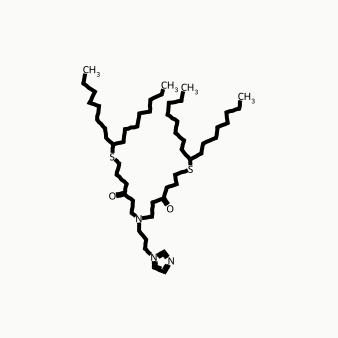 CCCCCCCCC(CCCCCCCC)SCCCC(=O)CCN(CCCn1ccnc1)CCC(=O)CCCSC(CCCCCCCC)CCCCCCCC